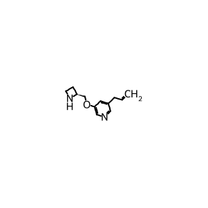 C=CCc1cncc(OC[C@@H]2CCN2)c1